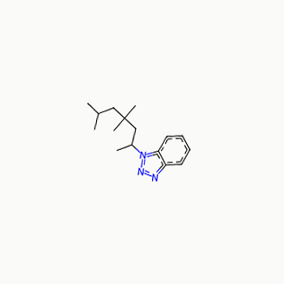 CC(C)CC(C)(C)CC(C)n1nnc2ccccc21